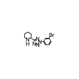 Brc1cccc(-n2nnc(C3CCCCN3)n2)c1